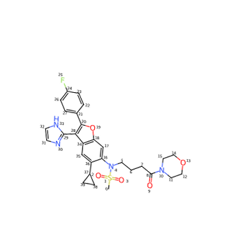 CS(=O)(=O)N(CCCC(=O)N1CCOCC1)c1cc2oc(-c3ccc(F)cc3)c(-c3ncc[nH]3)c2cc1C1CC1